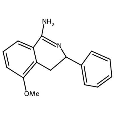 COc1cccc2c1CC(c1ccccc1)N=C2N